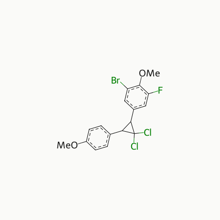 COc1ccc(C2C(c3cc(F)c(OC)c(Br)c3)C2(Cl)Cl)cc1